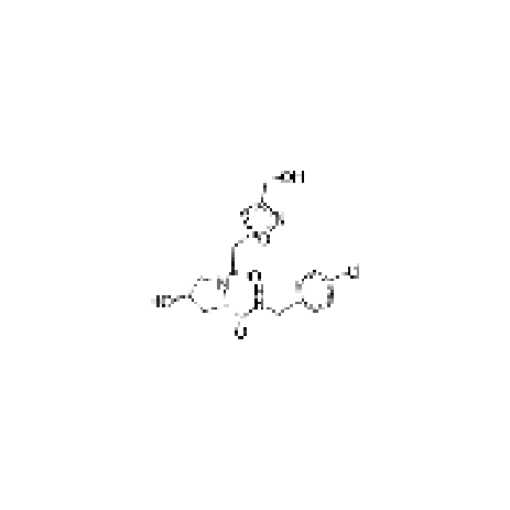 O=C(NCc1ccc(Cl)cc1)[C@@H]1C[C@@H](O)CN1C(=O)Cc1cc(CO)no1